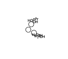 C1CCCCCCCCC1.C1CCCCCCCCC1.C1CCCCCCCCC1.CCCC(O)O.CO.CO